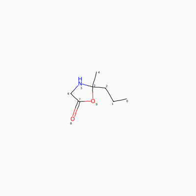 CCCC1(C)NCC(=O)O1